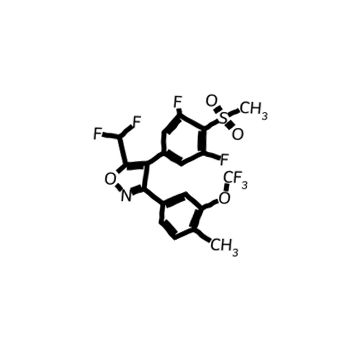 Cc1ccc(-c2noc(C(F)F)c2-c2cc(F)c(S(C)(=O)=O)c(F)c2)cc1OC(F)(F)F